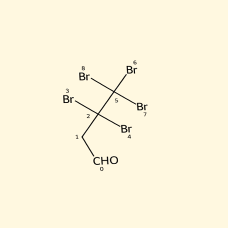 O=CCC(Br)(Br)C(Br)(Br)Br